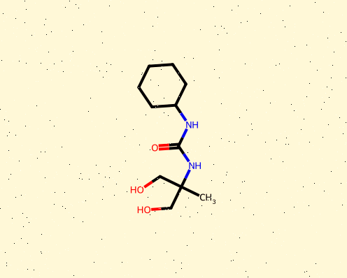 CC(CO)(CO)NC(=O)NC1CCCCC1